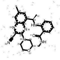 CNC(=O)c1ccccc1N[C@H](C)c1cc(C)cc2nc(C#N)c(N3CCOCC3)nc12